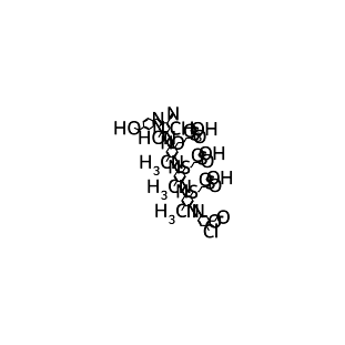 Cc1cc(N=Nc2cc(SCCCS(=O)(=O)O)c(N=Nc3cc(OCCCS(=O)(=O)O)c(N=Nc4c(C)c(C#N)c5nc6ccc(CO)cc6n5c4O)cc3C)cc2C)c(SCCCS(=O)(=O)O)cc1N=Nc1ccc(Cl)c(OC=O)c1